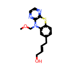 COCN1c2cc(CC=CCO)ccc2Sc2nccnc21